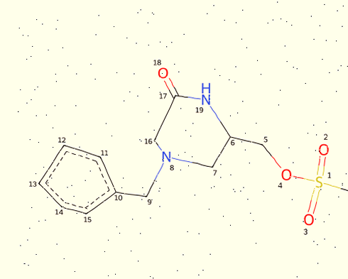 CS(=O)(=O)OCC1CN(Cc2ccccc2)CC(=O)N1